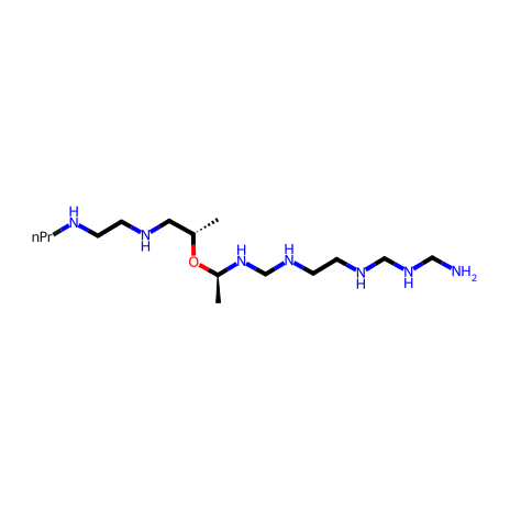 CCCNCCNC[C@H](C)O[C@H](C)NCNCCNCNCN